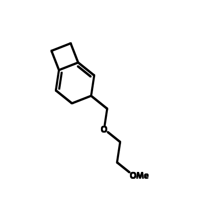 COCCOCC1C=C2CCC2=CC1